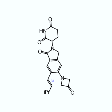 CC(C)/C=C/c1cc2c(cc1N1CC(=O)C1)CN(C1CCC(=O)NC1=O)C2=O